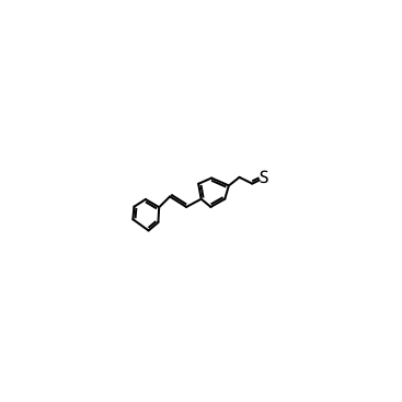 S=CCc1ccc(/C=C/c2ccccc2)cc1